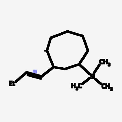 CC/C=C/C1[CH]CCCCC([Si](C)(C)C)C1